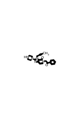 CC#CCn1c(N2CCNCC2)nc2ccn(CC(=O)c3ccccc3)c(=O)c21